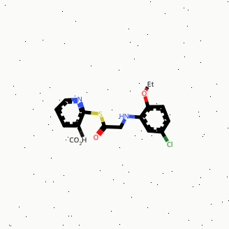 CCOc1ccc(Cl)cc1NCC(=O)Sc1ncccc1C(=O)O